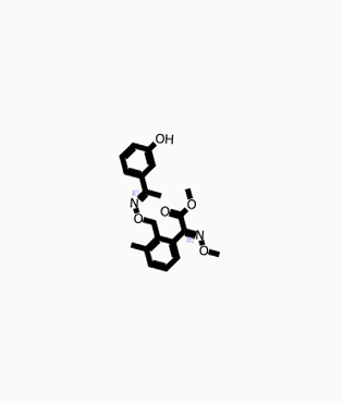 CO/N=C(/C(=O)OC)c1cccc(C)c1CO/N=C(\C)c1cccc(O)c1